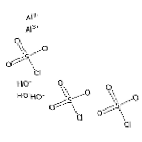 O=S(=O)([O-])Cl.O=S(=O)([O-])Cl.O=S(=O)([O-])Cl.[Al+3].[Al+3].[OH-].[OH-].[OH-]